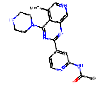 COc1cncc2nc(-c3ccnc(NC(=O)C(C)(C)C)c3)nc(N3CCNCC3)c12